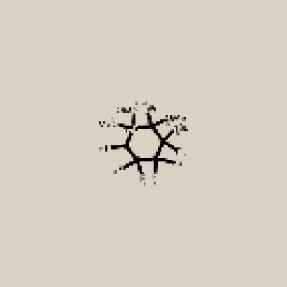 CCCCC1(F)C(F)(F)C(F)(F)C(F)[Si](OC)(OC)C1(CCC)OC